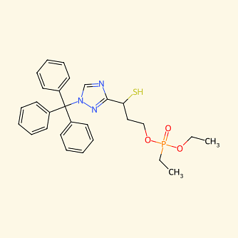 CCOP(=O)(CC)OCCC(S)c1ncn(C(c2ccccc2)(c2ccccc2)c2ccccc2)n1